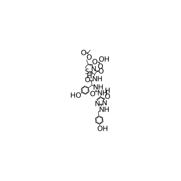 CC(=O)OCC1=C(OC(=O)O)N2C(=O)C(NC(=O)C(NC(=O)Nc3cnc(NCc4ccc(O)cc4)nc3O)c3ccc(O)cc3)[C@@H]2SC1